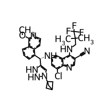 COc1nccc2c([C@H](Nc3cc(Cl)c4ncc(C#N)c(NCC(C)(C)C(F)(F)F)c4c3)C3=CN(C45CC(C4)C5)NN3)cccc12